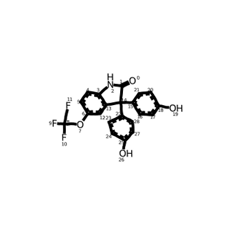 O=C1Nc2ccc(OC(F)(F)F)cc2C1(c1ccc(O)cc1)c1ccc(O)cc1